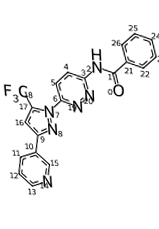 O=C(Nc1ccc(-n2nc(-c3cccnc3)cc2C(F)(F)F)nn1)c1ccccc1